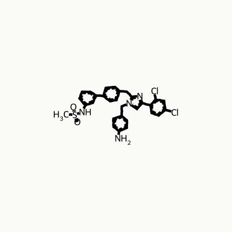 CS(=O)(=O)Nc1cccc(-c2ccc(Cc3nc(-c4ccc(Cl)cc4Cl)cn3Cc3ccc(N)cc3)cc2)c1